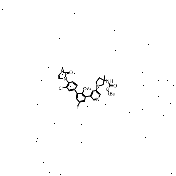 CC(=O)Oc1c(-c2cncc(N3CCC(C)(NC(=O)OC(C)(C)C)C3)c2)cc(F)cc1-c1ccc(-n2ccn(C)c2=O)c(Cl)c1